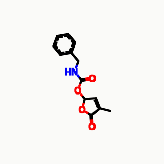 CC1=CC(OC(=O)NCc2ccccc2)OC1=O